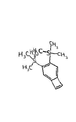 C[Si](C)(C)c1cc2c(cc1[Si](C)(C)C)C=C2